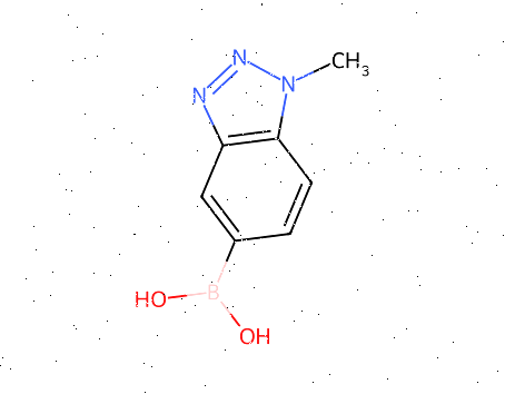 Cn1nnc2cc(B(O)O)ccc21